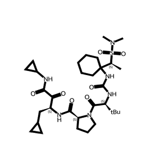 C[C@@H](C1(NC(=O)N[C@H](C(=O)N2CCC[C@H]2C(=O)N[C@@H](CC2CC2)C(=O)C(=O)NC2CC2)C(C)(C)C)CCCCC1)S(=O)(=O)N(C)C